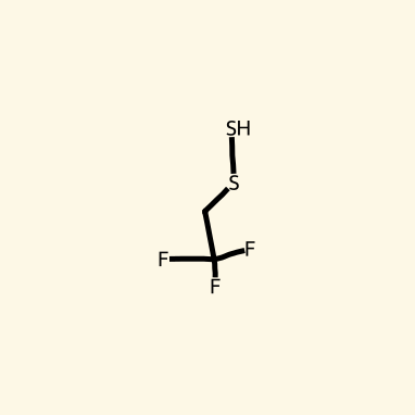 FC(F)(F)CSS